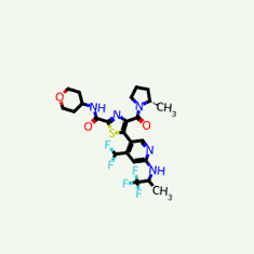 CC(Nc1cc(C(F)F)c(-c2sc(C(=O)NC3CCOCC3)nc2C(=O)N2CCC[C@@H]2C)cn1)C(F)(F)F